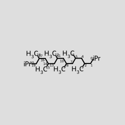 CC(C)CC(C)CC(C)CC(C)CC(C)CC(C)CC(C)CC(C)C